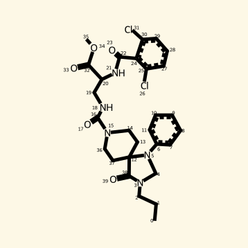 CCCN1CN(c2ccccc2)C2(CCN(C(=O)NCC(NC(=O)c3c(Cl)cccc3Cl)C(=O)OC)CC2)C1=O